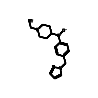 CC(C)CN1CCC([S+]([O-])c2ccc(Cn3cccn3)cc2)CC1